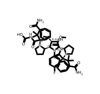 CO[C@H]1[C@H](OC)[C@H](C2CCCN2[C@]2(C(=O)NC(=O)O)c3ccc(cc3)C(C(N)=O)C2(C)C)N(c2ccc(F)cc2)[C@H]1C1CCCN1[C@]1(C(=O)NC(=O)O)c2ccc(cc2)C(C(N)=O)C1(C)C